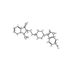 O=C1C2=CC=CCC2C(O)N1CCN1CCC(c2noc3cc(F)ccc23)CC1